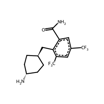 NC(=O)c1cc(C(F)(F)F)cc(C(F)(F)F)c1C[C@H]1CC[C@H](N)CC1